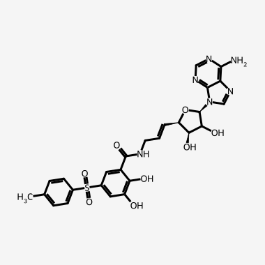 Cc1ccc(S(=O)(=O)c2cc(O)c(O)c(C(=O)NC/C=C/[C@H]3O[C@@H](n4cnc5c(N)ncnc54)C(O)[C@H]3O)c2)cc1